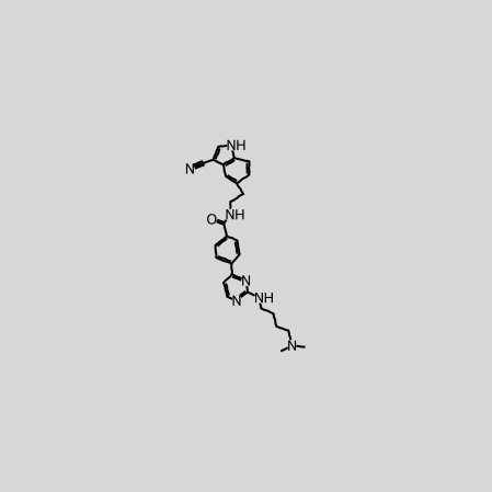 CN(C)CCCCNc1nccc(-c2ccc(C(=O)NCCc3ccc4[nH]cc(C#N)c4c3)cc2)n1